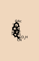 CC(=O)O[C@H]1CC[C@@]2(C)C(=CC[C@@H]3[C@@H]2CC[C@]2(C)C(=C(C#N)C(=O)O)CC[C@@H]32)C1